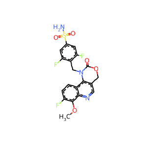 COc1c(F)ccc2c3c(cnc12)COC(=O)N3Cc1c(F)cc(S(N)(=O)=O)cc1F